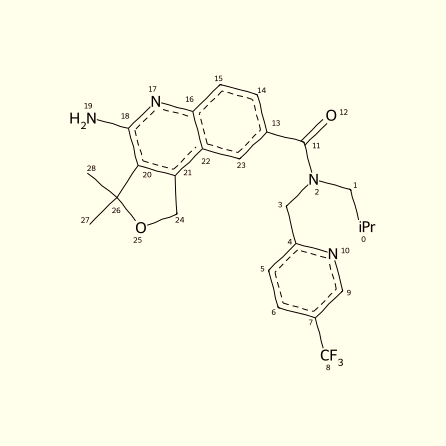 CC(C)CN(Cc1ccc(C(F)(F)F)cn1)C(=O)c1ccc2nc(N)c3c(c2c1)COC3(C)C